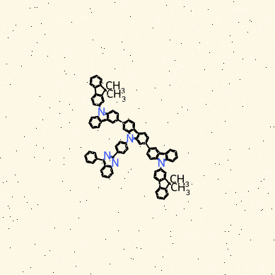 CC1(C)c2ccccc2-c2ccc(-n3c4ccccc4c4cc(-c5ccc6c7ccc(-c8ccc9c(c8)c8ccccc8n9-c8ccc9c(c8)C(C)(C)c8ccccc8-9)cc7n(-c7ccc(-c8nc(-c9ccccc9)c9ccccc9n8)cc7)c6c5)ccc43)cc21